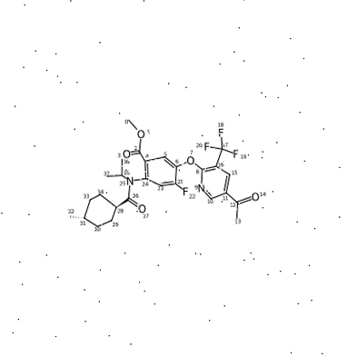 COC(=O)c1cc(Oc2ncc(C(C)=O)cc2C(F)(F)F)c(F)cc1N(C(=O)[C@H]1CC[C@H](C)CC1)C(C)C